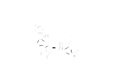 CN1CCC(Nc2cccc3c(C(F)C(F)F)c(C#CCNc4ccc(S(C)(=O)=O)cc4OCF)sc23)CC1